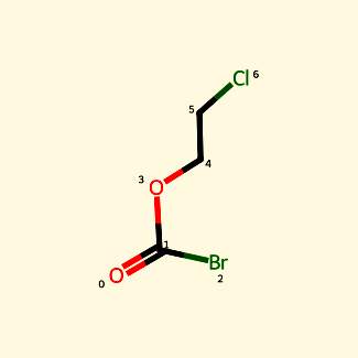 O=C(Br)OCCCl